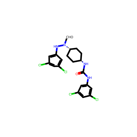 O=CN(Nc1cc(Cl)cc(Cl)c1)[C@H]1CC[C@@H](NC(=O)Nc2cc(Cl)cc(Cl)c2)CC1